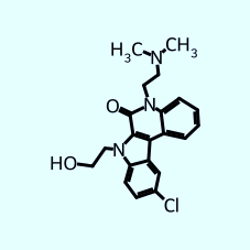 CN(C)CCn1c(=O)c2c(c3ccccc31)c1cc(Cl)ccc1n2CCO